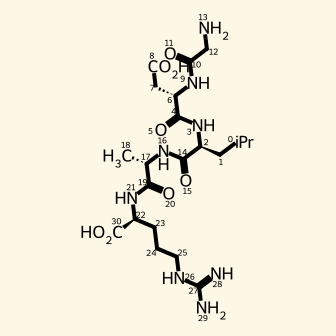 CC(C)C[C@H](NC(=O)[C@H](CC(=O)O)NC(=O)CN)C(=O)N[C@@H](C)C(=O)N[C@@H](CCCNC(=N)N)C(=O)O